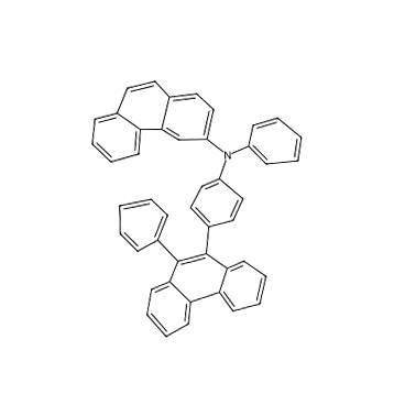 c1ccc(-c2c(-c3ccc(N(c4ccccc4)c4ccc5ccc6ccccc6c5c4)cc3)c3ccccc3c3ccccc23)cc1